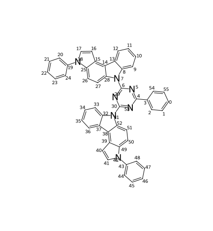 c1ccc(-c2nc(-n3c4ccccc4c4c5ccn(-c6ccccc6)c5ccc43)nc(-n3c4ccccc4c4c5ccn(-c6ccccc6)c5ccc43)n2)cc1